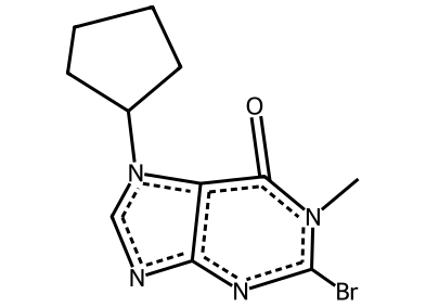 Cn1c(Br)nc2ncn(C3CCCC3)c2c1=O